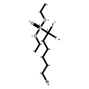 CCOP(=O)(OCC)C(F)(F)CCCCCBr